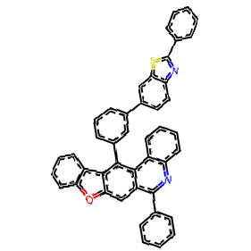 c1ccc(-c2nc3ccc(-c4cccc(-c5c6c(cc7c(-c8ccccc8)nc8ccccc8c57)oc5ccccc56)c4)cc3s2)cc1